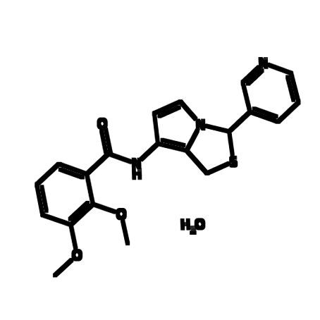 COc1cccc(C(=O)Nc2ccn3c2CSC3c2cccnc2)c1OC.O